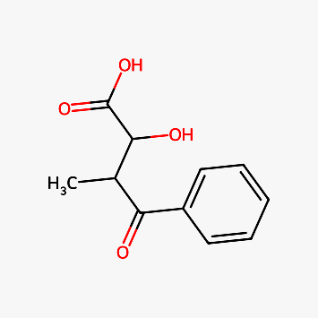 CC(C(=O)c1ccccc1)C(O)C(=O)O